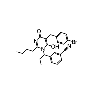 CCCCc1nc(=O)c(Cc2ccc(Br)cc2)c(O)n1C(CC)c1cccc(C#N)c1